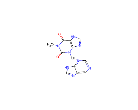 Cn1c(=O)c2[nH]cnc2n(C)c1=O.c1ncc2nc[nH]c2n1